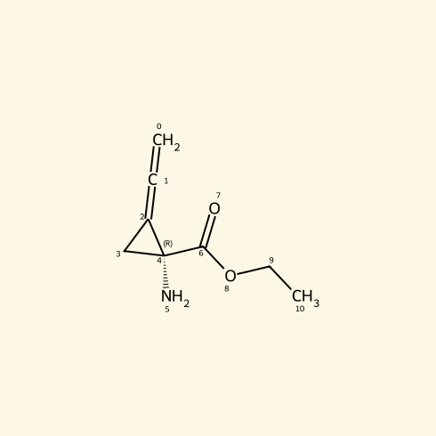 C=C=C1C[C@]1(N)C(=O)OCC